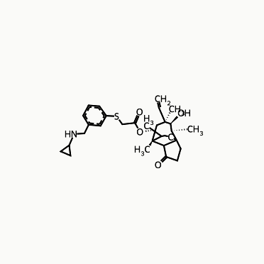 C=C[C@]1(C)C[C@@H](OC(=O)CSc2cccc(CNC3CC3)c2)[C@]2(C)C(C)CCC3(CCC(=O)C32)[C@@H](C)[C@@H]1O